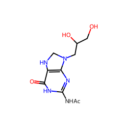 CC(=O)Nc1nc2c(c(=O)[nH]1)NCN2CC(O)CO